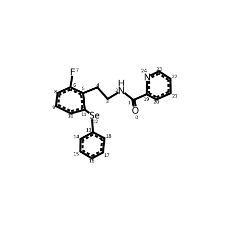 O=C(NCCc1c(F)cccc1[Se]c1ccccc1)c1ccccn1